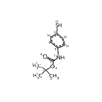 CC(C)(C)OC(=O)Nc1ccc(S)cc1